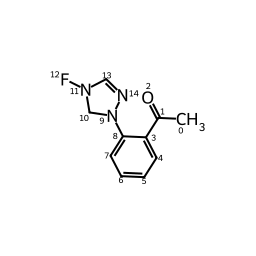 CC(=O)c1ccccc1N1CN(F)C=N1